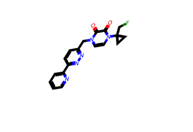 O=c1c(=O)n(C2(CF)CC2)ccn1Cc1ccc(-c2ccccn2)nn1